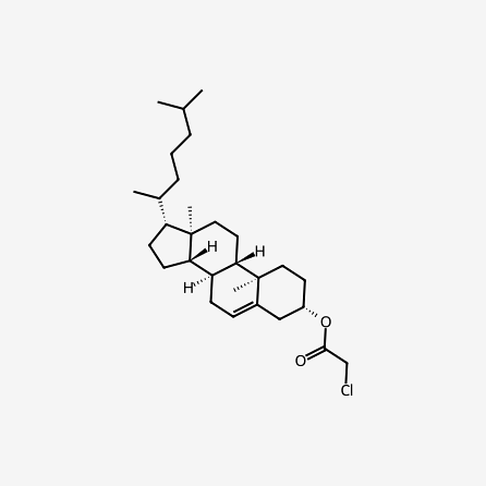 CC(C)CCCC(C)[C@H]1CC[C@H]2[C@@H]3CC=C4C[C@@H](OC(=O)CCl)CC[C@]4(C)[C@H]3CC[C@]12C